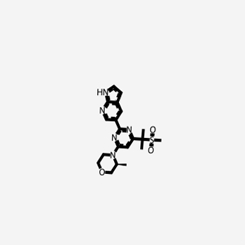 C[C@H]1COCCN1c1cc(C(C)(C)S(C)(=O)=O)nc(-c2cnc3[nH]ccc3c2)n1